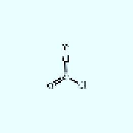 [O]=[Zr]([Cl])[Cl].[Y]